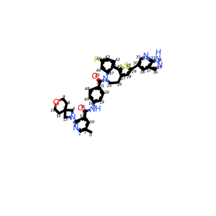 Cc1cnc(N2CC3(CCOCC3)C2)c(C(=O)Nc2ccc(C(=O)N3CCc4cc(-c5cnc6[nH]ncc6c5)sc4-c4ccc(F)cc43)cc2)c1